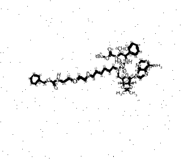 CC(C)(C)OC(=O)N[C@H](C=O)C(NS(=O)(=O)N(CCCCCCOCCOCCNC(=O)OCc1ccccc1)C[C@H]1O[C@@H](n2cnc3c(N)ncnc32)[C@@H]2OC(C)(C)O[C@@H]21)c1ccccc1